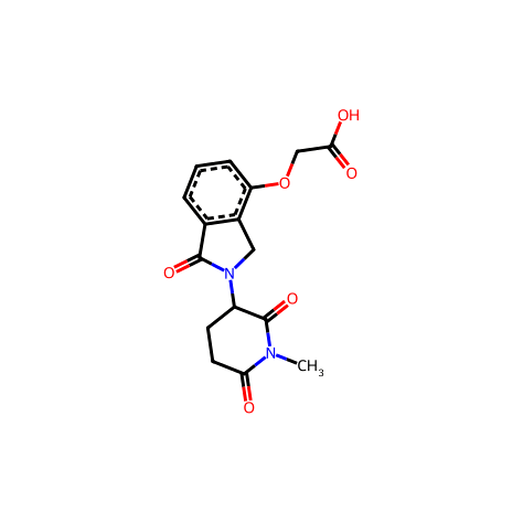 CN1C(=O)CCC(N2Cc3c(OCC(=O)O)cccc3C2=O)C1=O